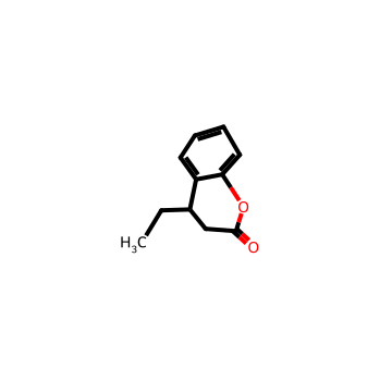 CCC1CC(=O)Oc2ccccc21